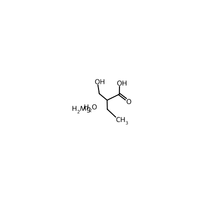 CCC(CO)C(=O)O.O.[MgH2]